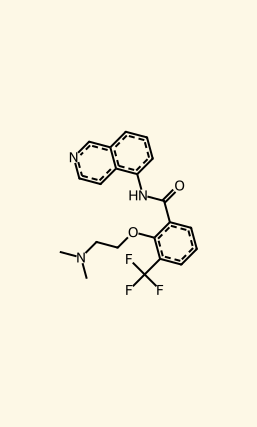 CN(C)CCOc1c(C(=O)Nc2cccc3cnccc23)cccc1C(F)(F)F